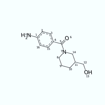 Nc1ccc(C(=O)N2CCCC(CO)C2)cc1